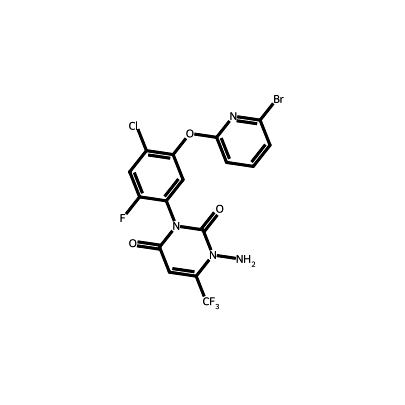 Nn1c(C(F)(F)F)cc(=O)n(-c2cc(Oc3cccc(Br)n3)c(Cl)cc2F)c1=O